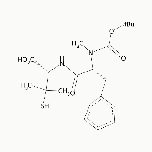 CN(C(=O)OC(C)(C)C)[C@H](Cc1ccccc1)C(=O)N[C@@H](C(=O)O)C(C)(C)S